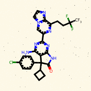 Nc1nc(-c2cn3ccnc3c(CCC(F)(F)C(F)(F)F)n2)nc2c1C(c1ccc(Cl)cc1)(C1CCC1)C(=O)N2